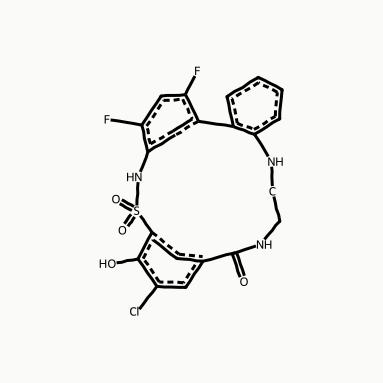 O=C1NCCNc2ccccc2-c2cc(c(F)cc2F)NS(=O)(=O)c2cc1cc(Cl)c2O